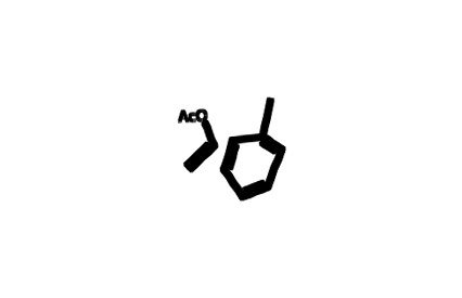 C=COC(C)=O.Cc1ccccc1